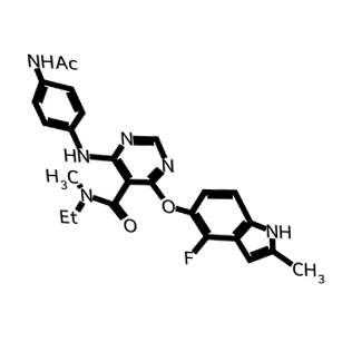 CCN(C)C(=O)c1c(Nc2ccc(NC(C)=O)cc2)ncnc1Oc1ccc2[nH]c(C)cc2c1F